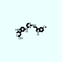 COc1ccc2[nH]cc(CCNc3nccc(Nc4ccc5[nH]c(C)c(CC(=O)O)c5c4)n3)c2c1